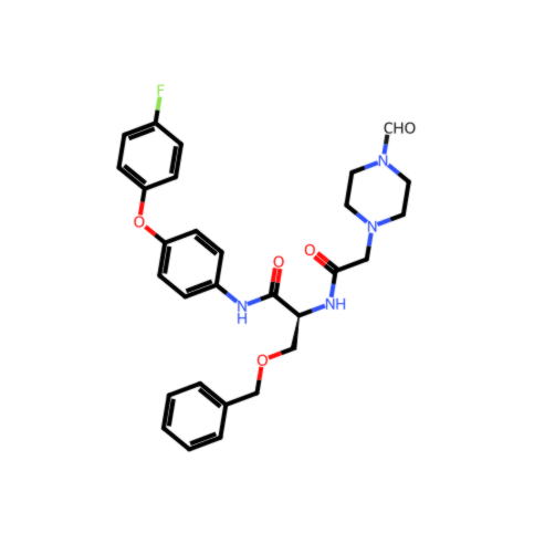 O=CN1CCN(CC(=O)N[C@@H](COCc2ccccc2)C(=O)Nc2ccc(Oc3ccc(F)cc3)cc2)CC1